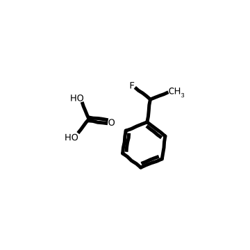 CC(F)c1ccccc1.O=C(O)O